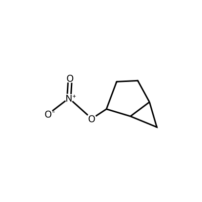 O=[N+]([O-])OC1CCC2CC21